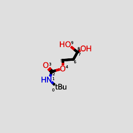 CC(C)(C)NC(=O)OCCC(O)O